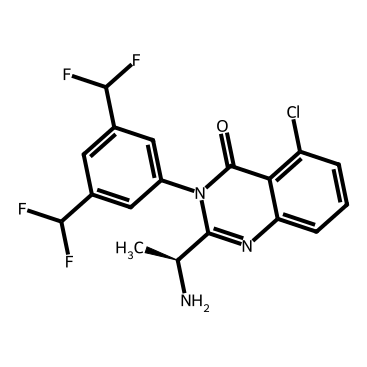 C[C@H](N)c1nc2cccc(Cl)c2c(=O)n1-c1cc(C(F)F)cc(C(F)F)c1